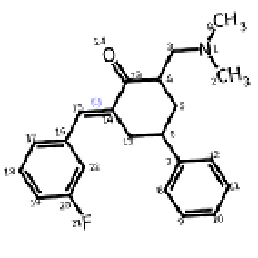 CN(C)CC1CC(c2ccccc2)C/C(=C\c2cccc(F)c2)C1=O